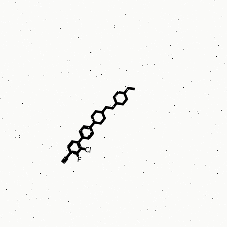 C#Cc1ccc(-c2ccc(C3CCC(CCC4CCC(CC)CC4)CC3)cc2)c(Cl)c1F